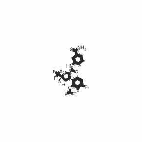 C[C@H]1[C@H](c2ccc(F)c(F)c2OC(F)F)[C@H](C(=O)Nc2cccc(C(N)=O)c2)O[C@@]1(C)C(F)(F)F